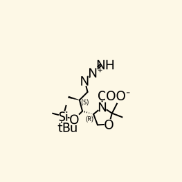 C[C@@H](CN=[N+]=N)C(O[Si](C)(C)C(C)(C)C)[C@H]1COC(C)(C)N1C(=O)[O-]